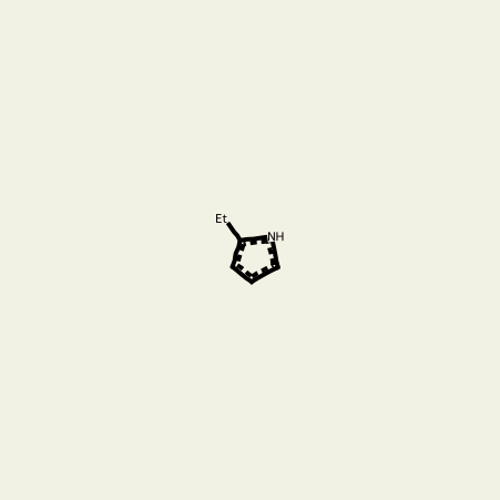 CCc1c[c]c[nH]1